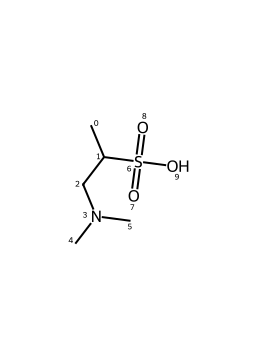 CC(CN(C)C)S(=O)(=O)O